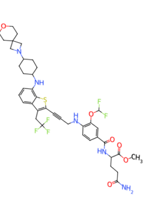 COC(=O)C(CCC(N)=O)NC(=O)c1ccc(NCC#Cc2sc3c(NC4CCC(N5CC6(CCOCC6)C5)CC4)cccc3c2CC(F)(F)F)c(OC(F)F)c1